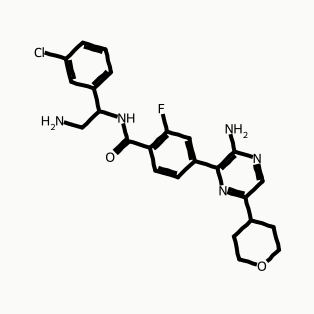 NCC(NC(=O)c1ccc(-c2nc(C3CCOCC3)cnc2N)cc1F)c1cccc(Cl)c1